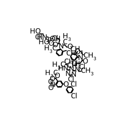 CC1COc2ccccc2N1C(=O)C(Cl)Cl.CCNc1nc(Cl)nc(NC(C)(C)C)n1.CCc1cccc(C)c1N(C(=O)CCl)C(C)COC.COC(=O)c1cc(Oc2ccc(Cl)cc2Cl)ccc1[N+](=O)[O-].O=C(O)CNCP(=O)(O)O